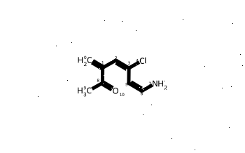 C=C(/C=C(Cl)\C=C/N)C(C)=O